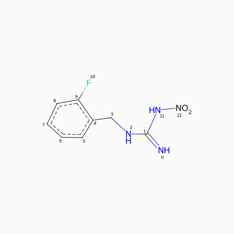 N=C(NCc1ccccc1F)N[N+](=O)[O-]